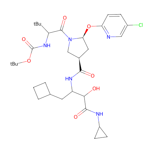 CC(C)(C)OC(=O)NC(C(=O)N1C[C@H](C(=O)NC(CC2CCC2)C(O)C(=O)NC2CC2)C[C@@H]1Oc1ccc(Cl)cn1)C(C)(C)C